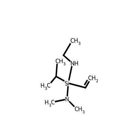 C=C[Si](NCC)(C(C)C)N(C)C